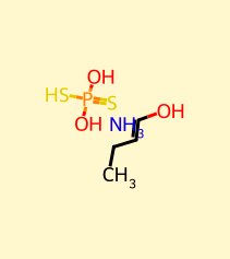 CCC=CO.N.OP(O)(=S)S